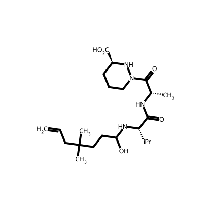 C=CCC(C)(C)CCC(O)N[C@H](C(=O)N[C@@H](C)C(=O)N1CCC[C@@H](C(=O)O)N1)C(C)C